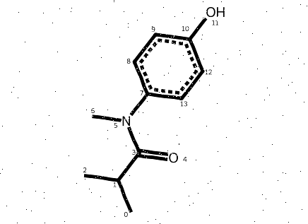 CC(C)C(=O)N(C)c1ccc(O)cc1